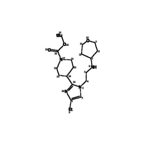 CCc1cn(CCNC2CCOCC2)c(C2CCN(C(=O)OC(C)(C)C)CC2)n1